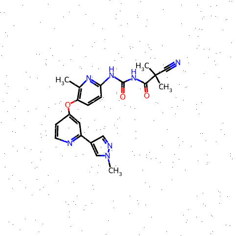 Cc1nc(NC(=O)NC(=O)C(C)(C)C#N)ccc1Oc1ccnc(-c2cnn(C)c2)c1